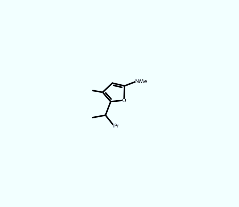 CNc1cc(C)c(C(C)C(C)C)o1